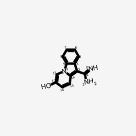 N=C(N)c1c2ccccc2n2cc(O)ccc12